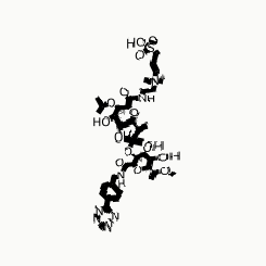 COC(C)[C@@H]1OC(C(=O)NCc2ccc(-c3nncnn3)cc2)[C@@H](OC(C)(C)C(C)[C@@H]2OC(C(=O)NCC[N+](C)(C)CCCS(=O)(=O)O)[C@@H](OC(C)C)C(O)[C@H]2O)[C@H](O)C1O